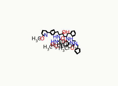 COC(=O)NC(C(=O)NC(Cc1ccc(-c2cccc(OC)n2)cc1)C(O)CC(Cc1ccccc1)NC(=O)C(N1CCN(Cc2ccccc2)C1=O)C(C)(C)C)C(C)(C)C